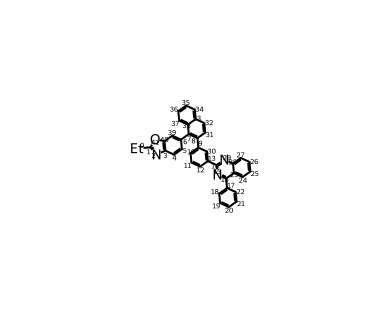 CCc1nc2ccc(-c3c(-c4cccc(-c5nc(-c6ccccc6)c6ccccc6n5)c4)ccc4ccccc34)cc2o1